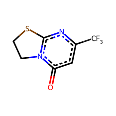 O=c1cc(C(F)(F)F)nc2n1CCS2